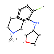 O=C(O)N1CCc2ccc(F)c(NC3CCOC3)c2C1